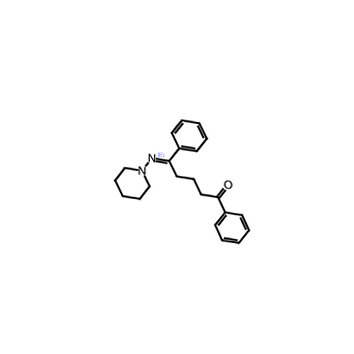 O=C(CCC/C(=N\N1CCCCC1)c1ccccc1)c1ccccc1